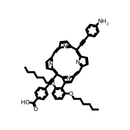 CCCCCCOc1cccc(OCCCCCC)c1C1=CC2=CC3=NC(=C(C#Cc4ccc(N)cc4)C4=NC(=CC5=NC(=C(C#Cc6ccc(C(=O)O)cc6)C1=N2)C=C5)C=C4)C=C3